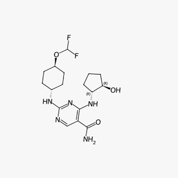 NC(=O)c1cnc(N[C@H]2CC[C@H](OC(F)F)CC2)nc1N[C@@H]1CCC[C@H]1O